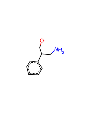 NCC(C[O])c1ccccc1